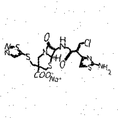 Nc1nc(C(=CCl)C(=O)NC2C(=O)N3CC(CSc4cnns4)(C(=O)[O-])CS[C@H]23)cs1.[Na+]